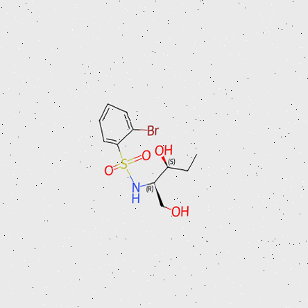 CC[C@H](O)[C@@H](CO)NS(=O)(=O)c1ccccc1Br